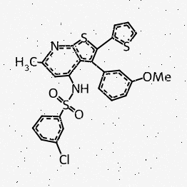 COc1cccc(-c2c(-c3cccs3)sc3nc(C)cc(NS(=O)(=O)c4cccc(Cl)c4)c23)c1